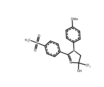 COc1ccc(N2CC(O)(C(F)(F)F)N=C2c2ccc(S(C)(=O)=O)cc2)cc1